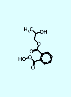 CC(O)COC(=O)c1ccccc1C(=O)OO